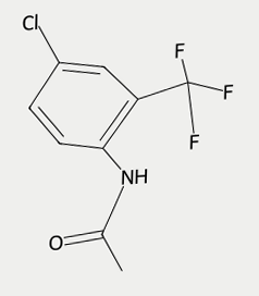 CC(=O)Nc1ccc(Cl)cc1C(F)(F)F